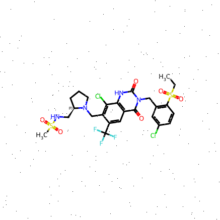 CCS(=O)(=O)c1ccc(Cl)cc1Cn1c(=O)[nH]c2c(Cl)c(CN3CCC[C@@H]3CNS(C)(=O)=O)c(C(F)(F)F)cc2c1=O